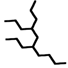 CCCCC(CCC)CC(CCC)CCC